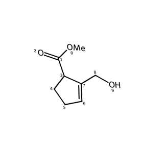 COC(=O)C1CCC=C1CO